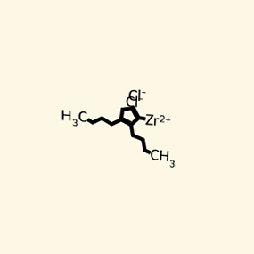 CCCCC1=C(CCCC)[C]([Zr+2])=CC1.[Cl-].[Cl-]